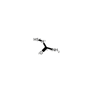 NC(=O)[N]S